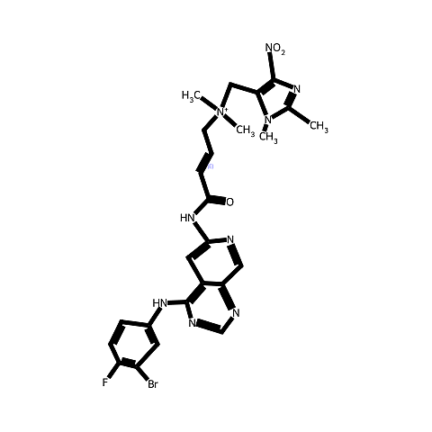 Cc1nc([N+](=O)[O-])c(C[N+](C)(C)C/C=C/C(=O)Nc2cc3c(Nc4ccc(F)c(Br)c4)ncnc3cn2)n1C